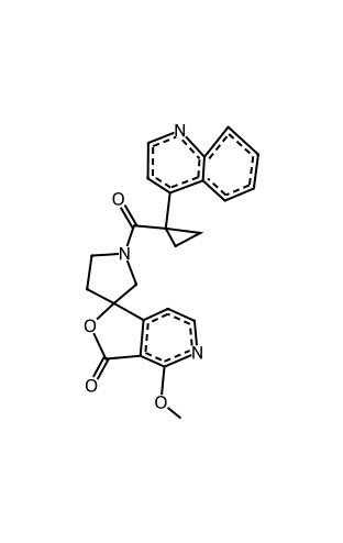 COc1nccc2c1C(=O)OC21CCN(C(=O)C2(c3ccnc4ccccc34)CC2)C1